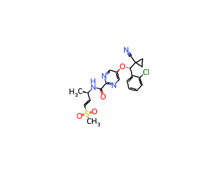 C[C@H](/C=C/S(C)(=O)=O)NC(=O)c1ncc(O[C@@H](c2ccccc2Cl)C2(C#N)CC2)cn1